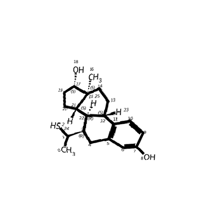 CC(S)[C@@H]1Cc2cc(O)ccc2[C@H]2CC[C@]3(C)[C@@H](O)CC[C@H]3[C@@H]21